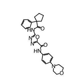 O=C(Nc1ccc(N2CCOCC2)cc1)c1nnc(NC(=O)C2(c3ccccc3)CCCC2)o1